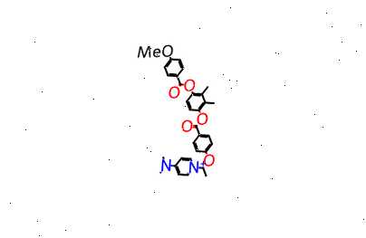 COc1ccc(C(=O)Oc2ccc(OC(=O)c3ccc(OC(C)[n+]4ccc(N(C)C)cc4)cc3)c(C)c2C)cc1